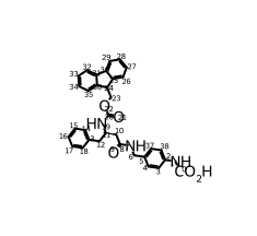 O=C(O)Nc1ccc(CNC(=O)C[C@@H](Cc2ccccc2)NC(=O)OCC2c3ccccc3-c3ccccc32)cc1